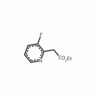 CCOC(=O)Cc1ncccc1F